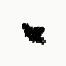 COC(=O)[C@H]1CC[C@H]2[C@@H]3CC[C@H]4N=C(O[Si](C)(C)C)[C@H]([S+]([O-])N(c5ccccc5)[Si](C)(C)C)C[C@]4(C)[C@H]3CC[C@]12C